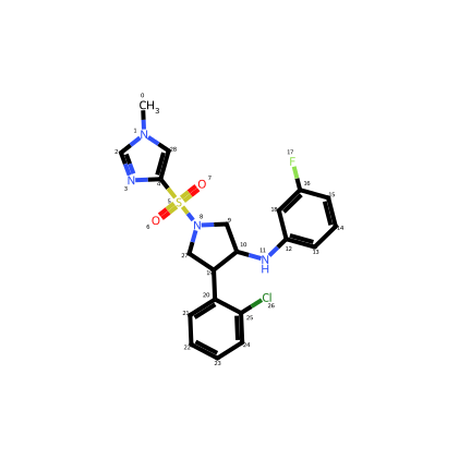 Cn1cnc(S(=O)(=O)N2CC(Nc3cccc(F)c3)C(c3ccccc3Cl)C2)c1